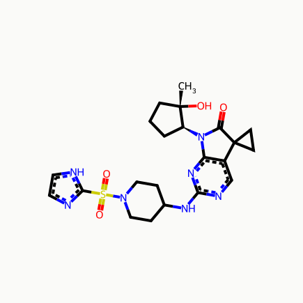 C[C@]1(O)CCC[C@@H]1N1C(=O)C2(CC2)c2cnc(NC3CCN(S(=O)(=O)c4ncc[nH]4)CC3)nc21